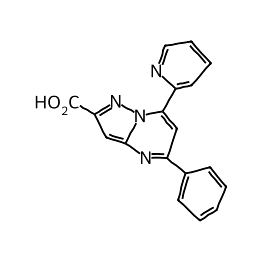 O=C(O)c1cc2nc(-c3ccccc3)cc(-c3ccccn3)n2n1